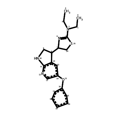 CCN(CC)C1=NC(C2CNc3ncc(Oc4ccccc4)cc32)CS1